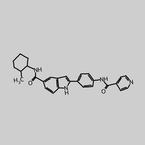 CC1CCCCC1NC(=O)c1ccc2[nH]c(-c3ccc(NC(=O)c4ccncc4)cc3)cc2c1